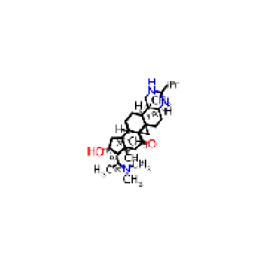 CC(C)C1=N[C@H]2CCC34CC35C(=O)C[C@]3(C)[C@@H]([C@H](C)N(C)C)[C@H](O)C[C@@]3(C)[C@@H]5CC[C@H]4[C@]2(C)CN1